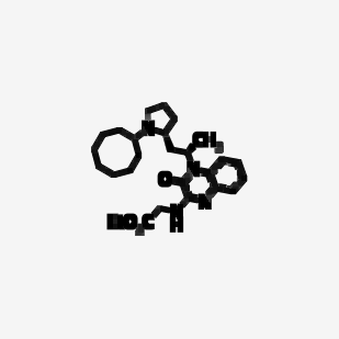 CCOC(=O)CNc1nc2ccccc2n([C@H](C)C[C@@H]2CCCN2C2CCCCCCC2)c1=O